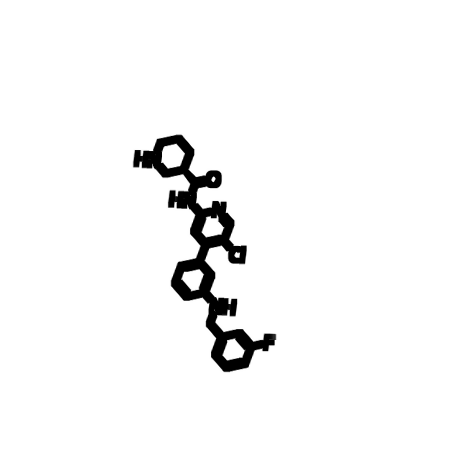 O=C(Nc1cc(-c2cccc(NCc3cccc(F)c3)c2)c(Cl)cn1)[C@@H]1CCCNC1